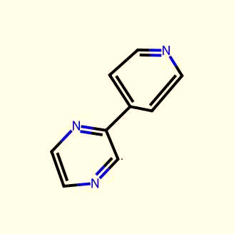 [c]1nccnc1-c1ccncc1